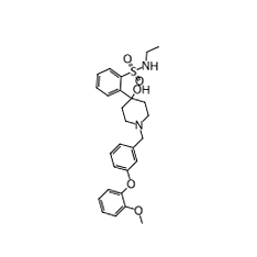 CCNS(=O)(=O)c1ccccc1C1(O)CCN(Cc2cccc(Oc3ccccc3OC)c2)CC1